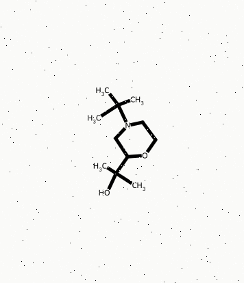 CC(C)(O)C1CN(C(C)(C)C)CCO1